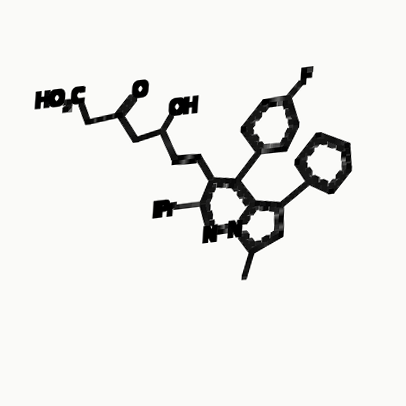 Cc1cc(-c2ccccc2)c2c(-c3ccc(F)cc3)c(C=CC(O)CC(=O)CC(=O)O)c(C(C)C)nn12